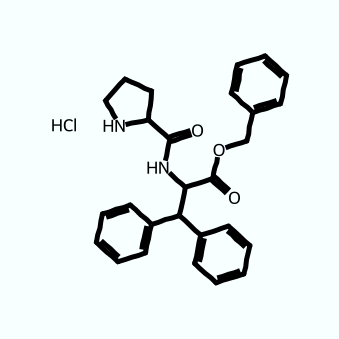 Cl.O=C(NC(C(=O)OCc1ccccc1)C(c1ccccc1)c1ccccc1)C1CCCN1